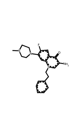 CN1CCN(c2cc3c(cc2F)c(=O)c(N)cn3CCc2ccccc2)CC1